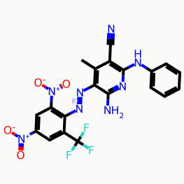 Cc1c(C#N)c(Nc2ccccc2)nc(N)c1/N=N/c1c([N+](=O)[O-])cc([N+](=O)[O-])cc1C(F)(F)F